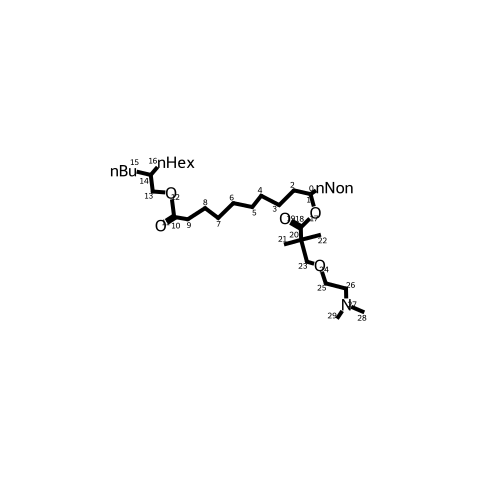 CCCCCCCCCC(CCCCCCCCC(=O)OCC(CCCC)CCCCCC)OC(=O)C(C)(C)COCCN(C)C